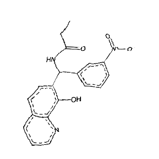 CCC(=O)NC(c1cccc([N+](=O)[O-])c1)c1ccc2cccnc2c1O